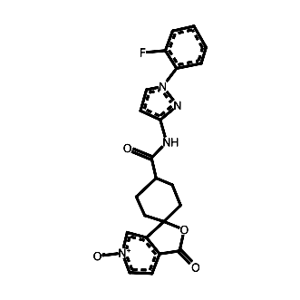 O=C1OC2(CCC(C(=O)Nc3ccn(-c4ccccc4F)n3)CC2)c2c[n+]([O-])ccc21